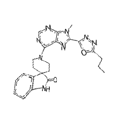 CCCc1nnc(-c2nc3c(N4CCC5(CC4)C(=O)Nc4ccccc45)ncnc3n2C)o1